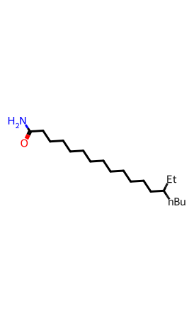 CCCCC(CC)CCCCCCCCCCCCC(N)=O